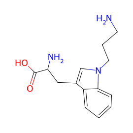 NCCCn1cc(CC(N)C(=O)O)c2ccccc21